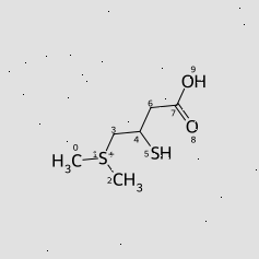 C[S+](C)CC(S)CC(=O)O